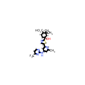 Cc1cc(Nc2nccc(C(F)(F)F)n2)cc(-c2cnc([C@@]3(O)CC[C@@H](C(=O)O)C(C)(C)C3)s2)n1